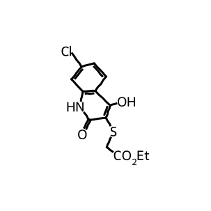 CCOC(=O)CSc1c(O)c2ccc(Cl)cc2[nH]c1=O